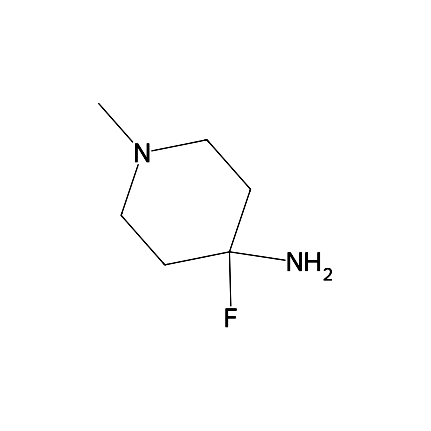 CN1CCC(N)(F)CC1